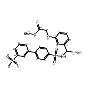 CCCCCC(NS(=O)(=O)c1ccc(-c2cccc(S(C)(=O)=O)c2)cc1)c1cccc(OCC(=O)OC(C)(C)C)c1